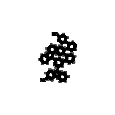 N#Cc1ccc(-c2ccccc2-c2ccccc2-c2ccccc2-c2cc(-n3c4ccccc4c4ccccc43)nc(-n3c4ccccc4c4cc(C#N)ccc43)c2)cc1